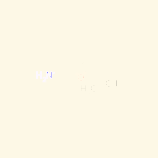 CC(C)Cc1ccc(CCN)o1